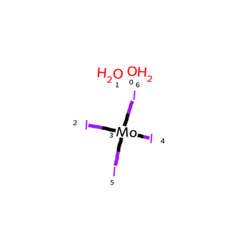 O.O.[I][Mo]([I])([I])[I]